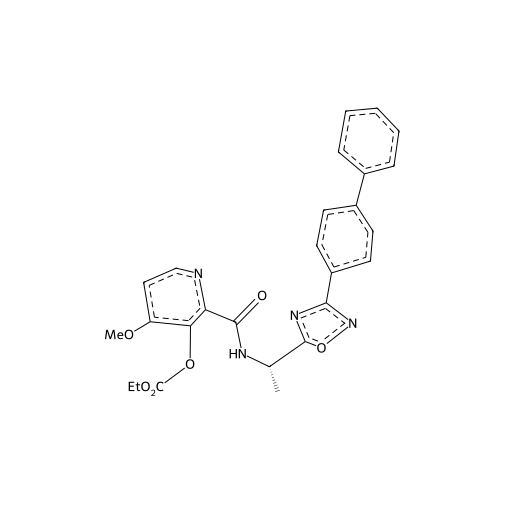 CCOC(=O)Oc1c(OC)ccnc1C(=O)N[C@@H](C)c1nc(-c2ccc(-c3ccccc3)cc2)no1